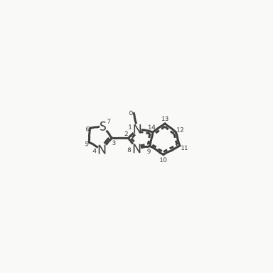 Cn1c(C2=NCCS2)nc2ccccc21